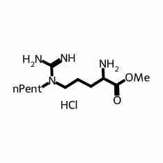 CCCCCN(CCCC(N)C(=O)OC)C(=N)N.Cl